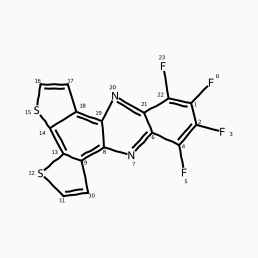 Fc1c(F)c(F)c2nc3c4ccsc4c4sccc4c3nc2c1F